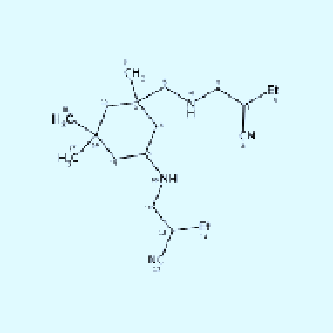 CCC(C#N)CNCC1(C)CC(NCC(C#N)CC)CC(C)(C)C1